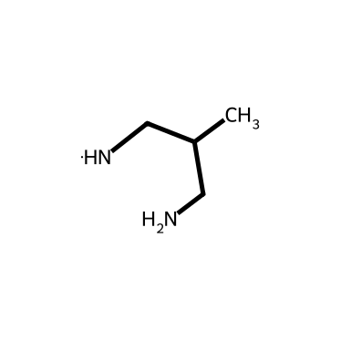 CC(C[NH])CN